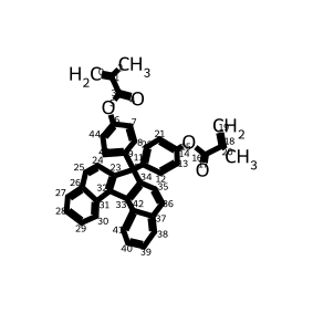 C=C(C)C(=O)Oc1ccc(C2(c3ccc(OC(=O)C(=C)C)cc3)c3ccc4ccccc4c3-c3c2ccc2ccccc32)cc1